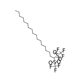 CCCCCCCCCCCCCCCCCC(S(=O)(=O)C(F)(F)F)S(=O)(=O)C(F)(F)F